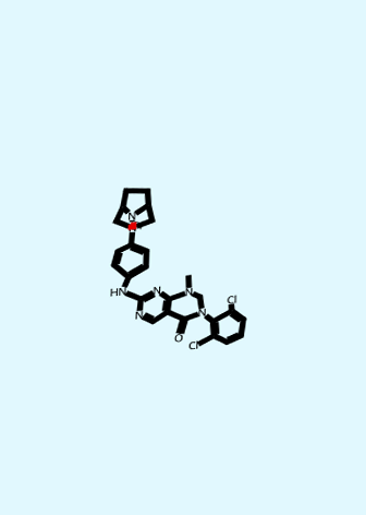 CC(C)N1C2CCC1CN(c1ccc(Nc3ncc4c(n3)N(C)CN(c3c(Cl)cccc3Cl)C4=O)cc1)C2